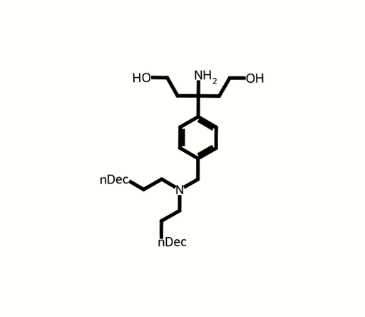 CCCCCCCCCCCCN(CCCCCCCCCCCC)Cc1ccc(C(N)(CCO)CCO)cc1